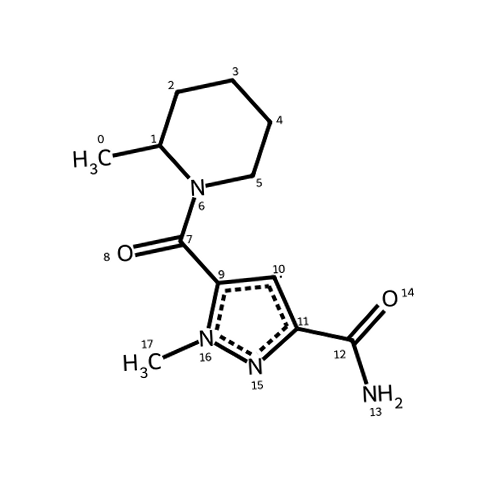 CC1CCCCN1C(=O)c1[c]c(C(N)=O)nn1C